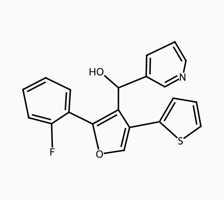 OC(c1cccnc1)c1c(-c2cccs2)coc1-c1ccccc1F